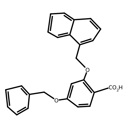 O=C(O)c1ccc(OCc2ccccc2)cc1OCc1cccc2ccccc12